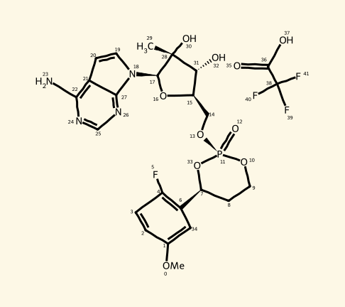 COc1ccc(F)c([C@@H]2CCO[P@](=O)(OC[C@H]3O[C@@H](n4ccc5c(N)ncnc54)[C@](C)(O)[C@@H]3O)O2)c1.O=C(O)C(F)(F)F